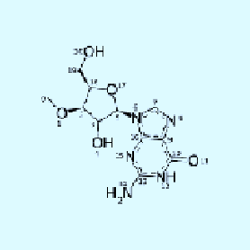 CO[C@@H]1C(O)[C@H](n2cnc3c(=O)[nH]c(N)nc32)O[C@@H]1CO